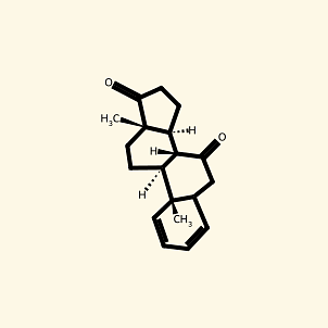 C[C@]12C=CC=CC1CC(=O)[C@@H]1[C@@H]2CC[C@]2(C)C(=O)CC[C@@H]12